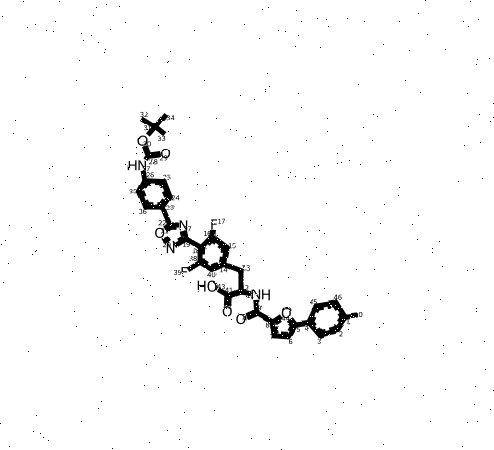 Cc1ccc(-c2ccc(C(=O)NC(Cc3cc(F)c(-c4noc(-c5ccc(NC(=O)OC(C)(C)C)cc5)n4)c(F)c3)C(=O)O)o2)cc1